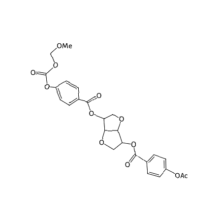 COCOC(=O)Oc1ccc(C(=O)OC2COC3C(OC(=O)c4ccc(OC(C)=O)cc4)COC23)cc1